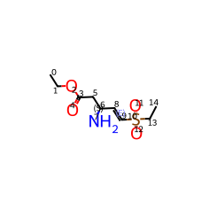 CCOC(=O)C[C@H](N)/C=C/S(=O)(=O)CC